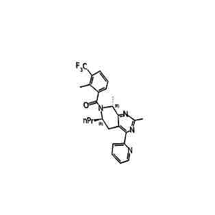 CCC[C@@H]1Cc2c(-c3ccccn3)nc(C)nc2[C@@H](C)N1C(=O)c1cccc(C(F)(F)F)c1C